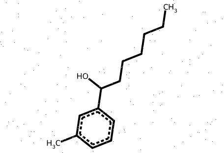 CCCCCCC(O)c1cccc(C)c1